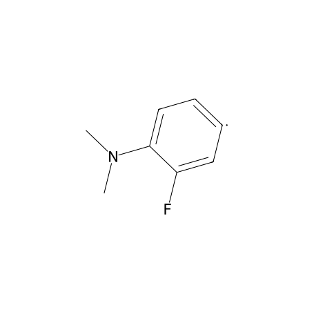 CN(C)c1cc[c]cc1F